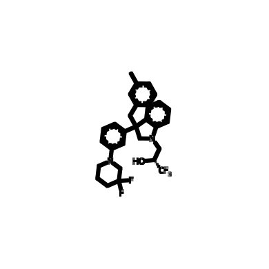 Cc1cccc(CC2(c3cccc(N4CCCC(F)(F)C4)c3)CN(C[C@@H](O)C(F)(F)F)c3ccccc32)c1